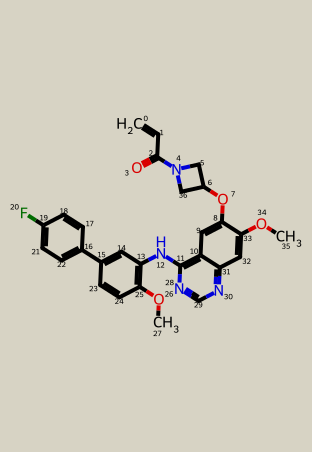 C=CC(=O)N1CC(Oc2cc3c(Nc4cc(-c5ccc(F)cc5)ccc4OC)ncnc3cc2OC)C1